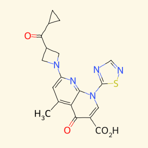 Cc1cc(N2CC(C(=O)C3CC3)C2)nc2c1c(=O)c(C(=O)O)cn2-c1ncns1